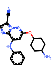 N#Cc1cnc2c(Nc3ccccc3)cc(OC3CCC(N)CC3)nn12